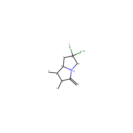 C=C1C(C)C(C)C2CC(F)(F)CN12